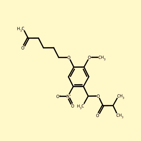 COc1cc(C(C)OC(=O)C(C)C)c([N+](=O)[O-])cc1OCCCCC(C)=O